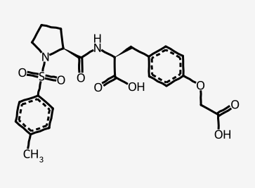 Cc1ccc(S(=O)(=O)N2CCC[C@H]2C(=O)N[C@@H](Cc2ccc(OCC(=O)O)cc2)C(=O)O)cc1